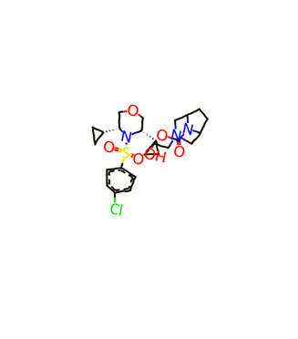 O=C(OC1([C@H]2COC[C@@H](C3CC3)N2S(=O)(=O)c2ccc(Cl)cc2)CC1)N1C2CCC1CN(CCO)C2